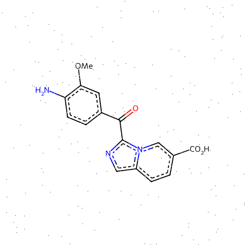 COc1cc(C(=O)c2ncc3ccc(C(=O)O)cn23)ccc1N